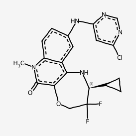 Cn1c(=O)c2c(c3cc(Nc4cc(Cl)ncn4)ccc31)N[C@@H](C1CC1)C(F)(F)CO2